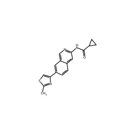 Cc1nc(-c2ccc3cc(NC(=O)C4CC4)ncc3c2)cs1